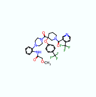 COCC(=O)Nc1ccccc1N1CCN(C(=O)C2(Oc3ccc(C(F)(F)F)cc3)CCCN(C(=O)c3cnccc3C(F)(F)F)C2)CC1